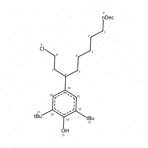 CCCCCCCCCCCCCCCC(CCCl)c1cc(C(C)(C)C)c(O)c(C(C)(C)C)c1